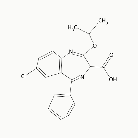 CC(C)OC1=Nc2ccc(Cl)cc2C(c2ccccc2)=NC1C(=O)O